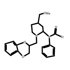 CCC(=O)N(c1ccccc1)C1CC(COC)CCN1CC1COc2ccccc2O1